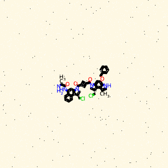 Cc1c[nH]c2c(OCc3ccccc3)cc3c(c12)[C@H](CCl)CN3C(=O)C12CC(C(=O)N3C[C@@H](CCl)c4c3cc(NC(=O)[C@H](C)N)c3ccccc43)(C1)C2